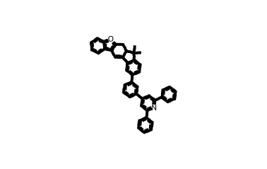 CC1(C)c2ccc(-c3cccc(-c4cc(-c5ccccc5)nc(-c5ccccc5)c4)c3)cc2C2=Cc3c(oc4ccccc34)CC21